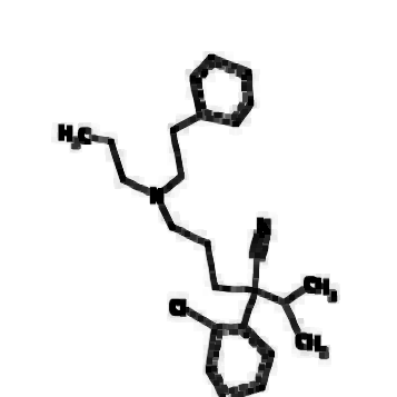 CCCN(CCCC(C#N)(c1ccccc1Cl)C(C)C)CCc1ccccc1